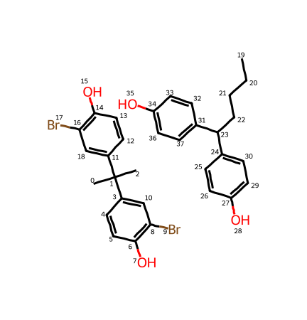 CC(C)(c1ccc(O)c(Br)c1)c1ccc(O)c(Br)c1.CCCCC(c1ccc(O)cc1)c1ccc(O)cc1